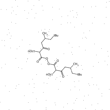 CCCCCCCCC(C(=O)CC(C)CC(C)(C)C)C(=O)OOC(=O)C(CCCCCCCC)C(=O)CC(C)CC(C)(C)C